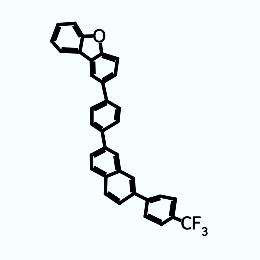 FC(F)(F)c1ccc(-c2ccc3ccc(-c4ccc(-c5ccc6oc7ccccc7c6c5)cc4)cc3c2)cc1